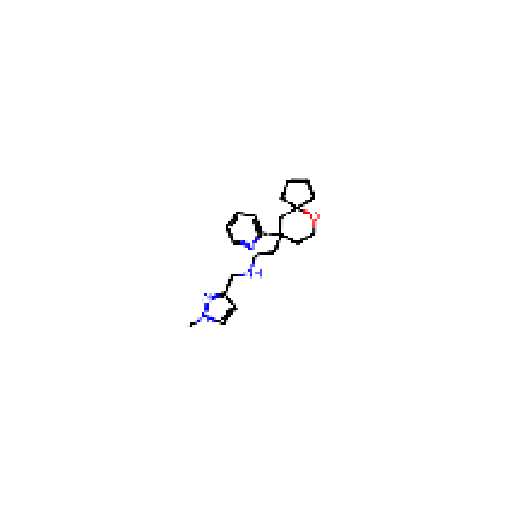 Cn1ccc(CNCCC2(c3ccccn3)CCOC3(CCCC3)C2)n1